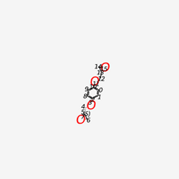 c1cc(OC[C@@H]2CO2)ccc1OCC1CO1